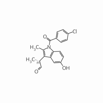 Cc1c([C@@H](C)C=O)c2cc(O)ccc2n1C(=O)c1ccc(Cl)cc1